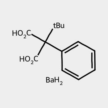 CC(C)(C)C(C(=O)O)(C(=O)O)c1ccccc1.[BaH2]